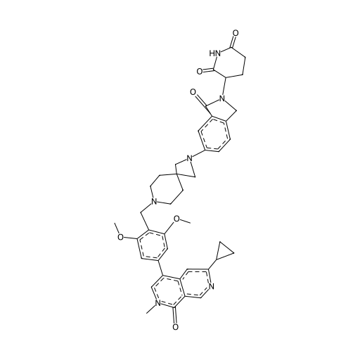 COc1cc(-c2cn(C)c(=O)c3cnc(C4CC4)cc23)cc(OC)c1CN1CCC2(CC1)CN(c1ccc3c(c1)C(=O)N(C1CCC(=O)NC1=O)C3)C2